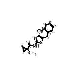 CC1(C(=O)Nc2ncc(Cc3ccccc3Cl)s2)CC1